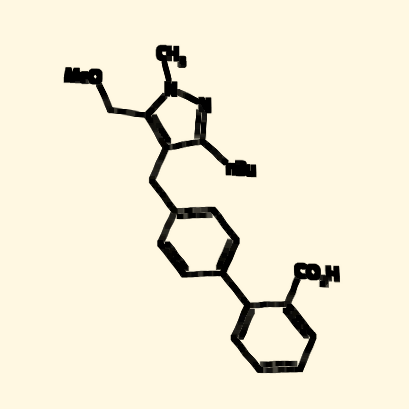 CCCCc1nn(C)c(COC)c1Cc1ccc(-c2ccccc2C(=O)O)cc1